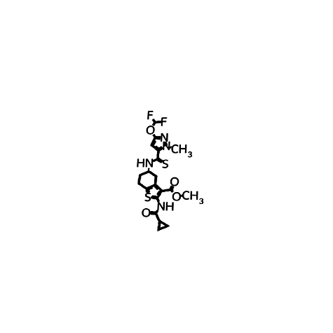 COC(=O)c1c(NC(=O)C2CC2)sc2c1C[C@@H](NC(=S)c1cc(OC(F)F)nn1C)CC2